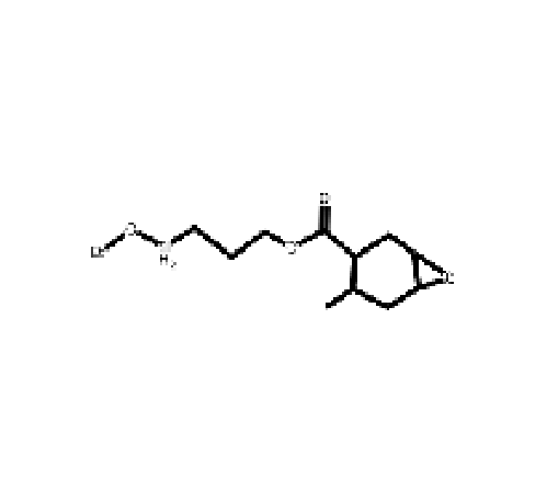 CCO[SiH2]CCCOC(=O)C1CC2OC2CC1C